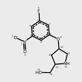 O=[N+]([O-])c1cc(F)cc(OC2CNC(CO)C2)c1